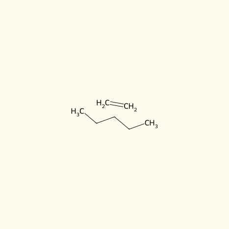 C=C.CCCCC